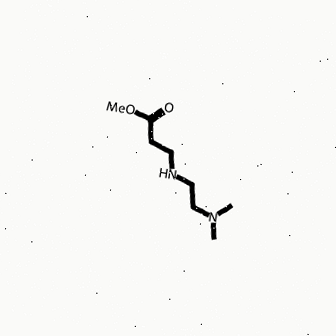 COC(=O)CCNCCN(C)C